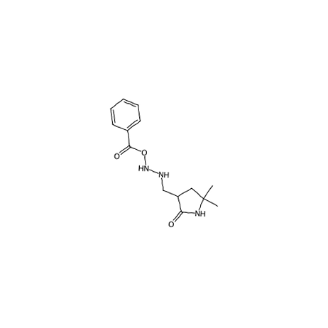 CC1(C)CC(CNNOC(=O)c2ccccc2)C(=O)N1